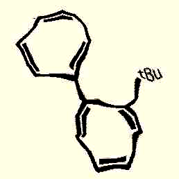 CC(C)(C)c1ccccc1-c1cc[c]cc1